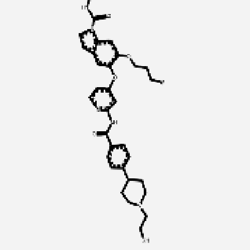 CNC(=O)n1ccc2cc(Oc3ccnc(NC(=O)c4ccc(C5CCN(CCO)CC5)cc4)c3)c(OCCCF)cc21